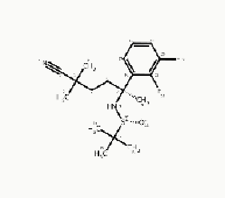 CC(C)(C#N)CC[C@](C)(N[S@+]([O-])C(C)(C)C)c1cccc(F)c1F